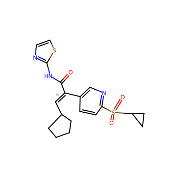 O=C(Nc1nccs1)/C(=C/C1CCCC1)c1ccc(S(=O)(=O)C2CC2)nc1